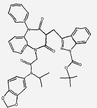 CC(C)N(C(=O)CN1C(=O)C(Cc2nn(C(=O)OC(C)(C)C)c3ccccc23)C(=O)N(c2ccccc2)c2ccccc21)c1ccc2c(c1)OCO2